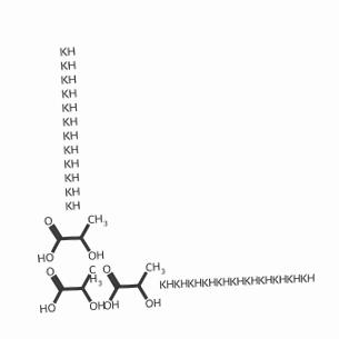 CC(O)C(=O)O.CC(O)C(=O)O.CC(O)C(=O)O.[KH].[KH].[KH].[KH].[KH].[KH].[KH].[KH].[KH].[KH].[KH].[KH].[KH].[KH].[KH].[KH].[KH].[KH].[KH].[KH].[KH].[KH].[KH]